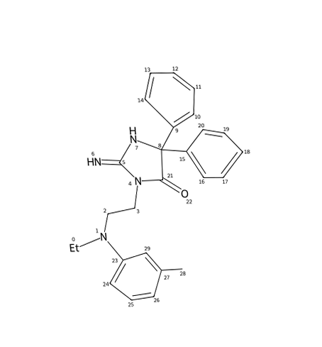 CCN(CCN1C(=N)NC(c2ccccc2)(c2ccccc2)C1=O)c1cccc(C)c1